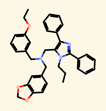 CCCn1c(-c2ccccc2)nc(-c2ccccc2)c1CN(Cc1cccc(OCC)c1)Cc1ccc2c(c1)OCO2